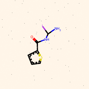 NC(I)NC(=O)c1cccs1